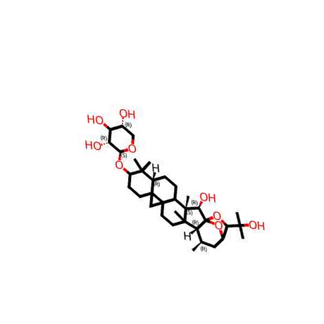 C[C@@H]1CC2OC3(OC2C(C)(C)O)[C@H]1C1(C)CCC24CC25CCC(O[C@@H]2OC[C@@H](O)C(O)[C@H]2O)C(C)(C)[C@@H]5CCC4[C@]1(C)[C@H]3O